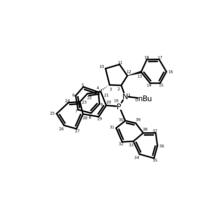 CCCCN(C1[C@H](c2ccccc2)CC[C@H]1c1ccccc1)P(c1ccc2ccccc2c1)c1ccc2ccccc2c1